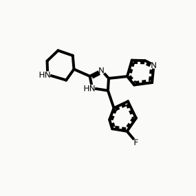 Fc1ccc(C2NC(C3CCCNC3)=NC2c2ccncc2)cc1